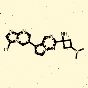 CN(C)C1CC(N)(c2ncc3c(-c4cnc5ncc(Cl)n5c4)ccn3n2)C1